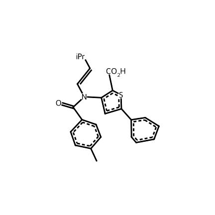 Cc1ccc(C(=O)N(C=CC(C)C)c2cc(-c3ccccc3)sc2C(=O)O)cc1